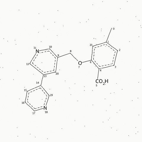 Cc1ccc(C(=O)O)c(OCc2cncc(-c3cccnc3)c2)c1